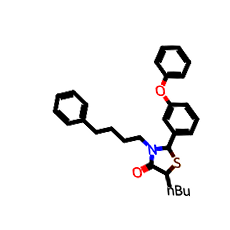 CCCCC1SC(c2cccc(Oc3ccccc3)c2)N(CCCCc2ccccc2)C1=O